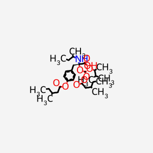 CCC(C)CC(=O)Oc1ccc(C[C@](NC(C)CC)(OC(=O)OC(C)C(C)C)C(=O)O)cc1OC(=O)CC(C)CC